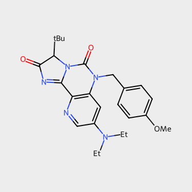 CCN(CC)c1cnc2c(c1)N(Cc1ccc(OC)cc1)C(=O)N1C2=NC(=O)C1C(C)(C)C